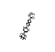 CC(C)(C)OC(=O)N1CC2(C1)CN(c1ncc(B3OC(C)(C)C(C)(C)O3)cn1)C2